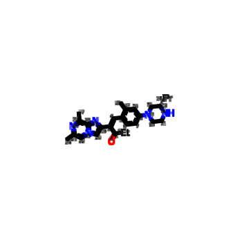 CCC(=O)/C(=C\c1ccc(N2CCN[C@@H](C(C)C)C2)cc1C)c1cn2cc(C)nc(C)c2n1